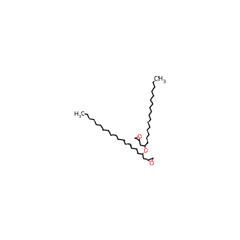 CCCCCCCCCCCCCCCCCC(CC1CO1)OC(CCCCCCCCCCCCCCCCC)CC1CO1